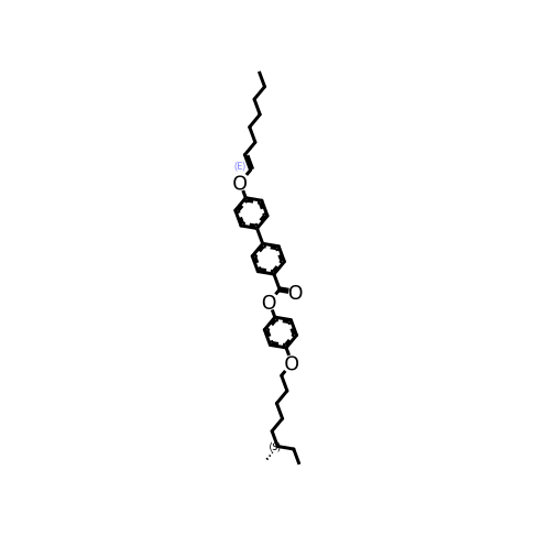 CCCCCC/C=C/Oc1ccc(-c2ccc(C(=O)Oc3ccc(OCCCCC[C@@H](C)CC)cc3)cc2)cc1